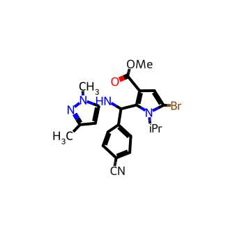 COC(=O)c1cc(Br)n(C(C)C)c1C(Nc1cc(C)nn1C)c1ccc(C#N)cc1